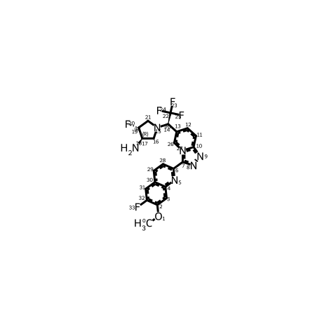 COc1cc2nc(-c3nnc4ccc([C@@H](N5C[C@@H](N)[C@H](F)C5)C(F)(F)F)cn34)ccc2cc1F